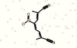 C\C(C#N)=C/C=C(\C=C(/C)C#N)[N+](=O)[O-]